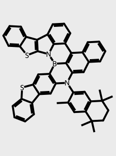 Cc1cc2c(cc1N1c3cc4c(cc3B3c5c1cc1ccccc1c5-c1cccc5c6c7ccccc7sc6n3c15)sc1ccccc14)C(C)(C)CCC2(C)C